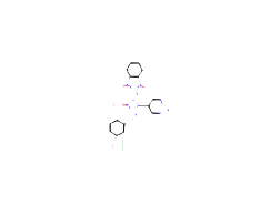 O=C1C(N2C(=O)c3ccccc3C2=O)C(c2ccncc2)N1Cc1cccc(Cl)c1